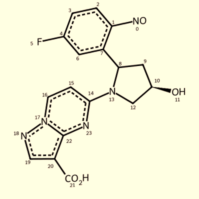 O=Nc1ccc(F)cc1C1C[C@@H](O)CN1c1ccn2ncc(C(=O)O)c2n1